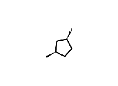 C[C@@H]1CC[C@H](I)C1